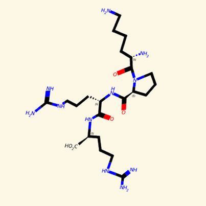 N=C(N)NCCC[C@H](NC(=O)[C@H](CCCNC(=N)N)NC(=O)[C@@H]1CCCN1C(=O)[C@@H](N)CCCCN)C(=O)O